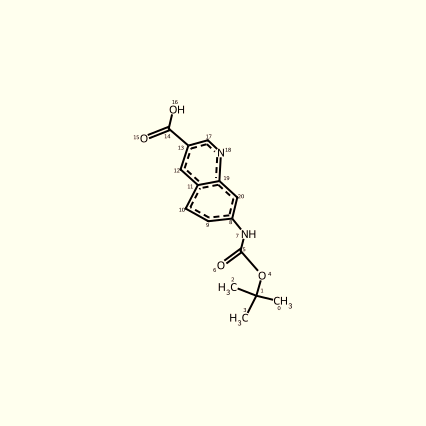 CC(C)(C)OC(=O)Nc1ccc2cc(C(=O)O)cnc2c1